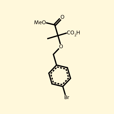 COC(=O)C(C)(OCc1ccc(Br)cc1)C(=O)O